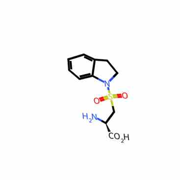 N[C@@H](CS(=O)(=O)N1CCc2ccccc21)C(=O)O